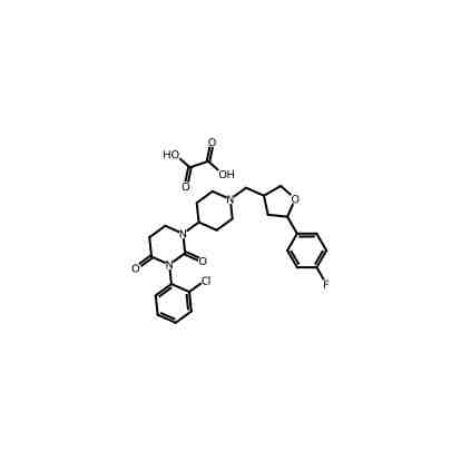 O=C(O)C(=O)O.O=C1CCN(C2CCN(CC3COC(c4ccc(F)cc4)C3)CC2)C(=O)N1c1ccccc1Cl